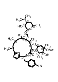 CO[C@]1(C)C[C@H](O[C@H]2[C@H](C)[C@@H](CO[C@@H]3O[C@H](C)C[C@H](N(C)C)[C@H]3O)[C@](C)(O)C[C@@H](C)CN(C)c3nc(cs3)[C@H](Cc3ccc(C#N)cc3)NC(=O)[C@@H]2C)O[C@@H](C)[C@@H]1O